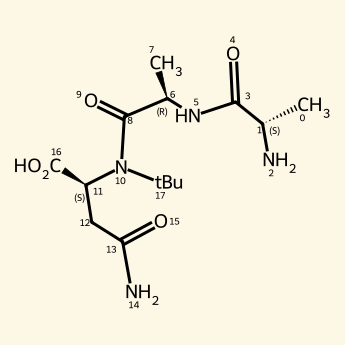 C[C@H](N)C(=O)N[C@H](C)C(=O)N([C@@H](CC(N)=O)C(=O)O)C(C)(C)C